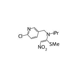 CSC(=C[N+](=O)[O-])N(Cc1ccc(Cl)nc1)C(C)C